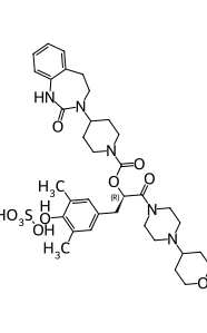 Cc1cc(C[C@@H](OC(=O)N2CCC(N3CCc4ccccc4NC3=O)CC2)C(=O)N2CCN(C3CCOCC3)CC2)cc(C)c1O.O=S(=O)(O)O